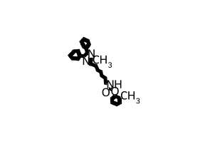 Cc1ccccc1OC(=O)NCCCCCCCC1(C)N=C(c2ccccc2)C(c2ccccc2)=N1